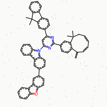 C=C1/C=C\C=C/CC(C)(C)c2cc(-c3nc(-c4ccc5c(c4)C(C)(C)c4ccccc4-5)cc(-n4c5ccccc5c5cc(-c6ccc7oc8ccccc8c7c6)ccc54)n3)ccc21